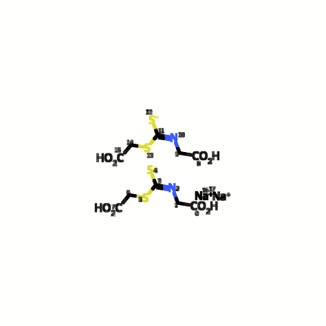 O=C(O)CN=C([S-])SCC(=O)O.O=C(O)CN=C([S-])SCC(=O)O.[Na+].[Na+]